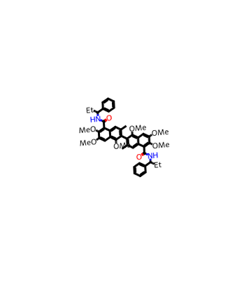 CCC(NC(=O)c1c(OC)c(OC)cc2c(OC)c(-c3c(C)cc4c(C(=O)NC(CC)c5ccccc5)c(OC)c(OC)cc4c3OC)c(C)cc12)c1ccccc1